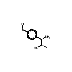 CCSc1ccc([C@@H](N)[C@@H](C)O)cc1